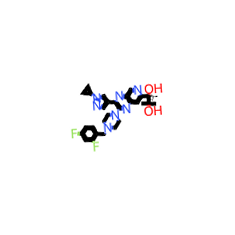 CC(C)(O)[C@](C)(O)c1cc2nc(N3CCN(Cc4ccc(F)cc4F)CC3)c(-c3cnn(C4CC4)c3)nc2cn1